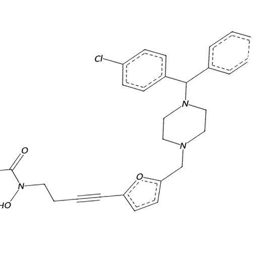 NC(=O)N(O)CCC#Cc1ccc(CN2CCN(C(c3ccccc3)c3ccc(Cl)cc3)CC2)o1